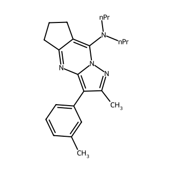 CCCN(CCC)c1c2c(nc3c(-c4cccc(C)c4)c(C)nn13)CCC2